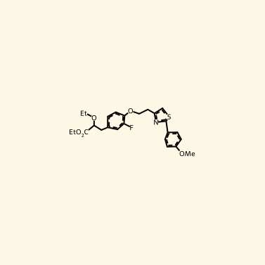 CCOC(=O)C(Cc1ccc(OCCc2csc(-c3ccc(OC)cc3)n2)c(F)c1)OCC